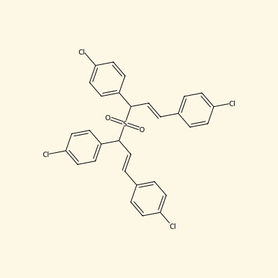 O=S(=O)(C(C=Cc1ccc(Cl)cc1)c1ccc(Cl)cc1)C(C=Cc1ccc(Cl)cc1)c1ccc(Cl)cc1